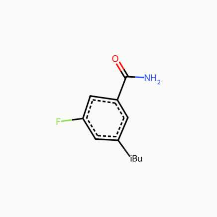 CCC(C)c1cc(F)cc(C(N)=O)c1